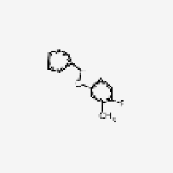 Cc1cc(O[CH]c2ccccc2)ccc1F